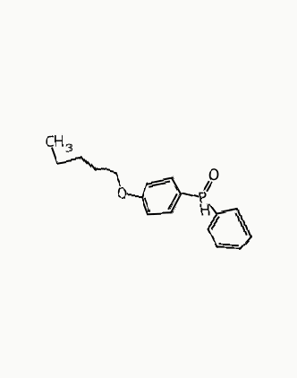 CCCCCOc1ccc([PH](=O)c2ccccc2)cc1